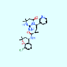 CC1(C)CC(=O)N([C@@H](c2cccnc2)[C@@H]2C[C@H]2C(=O)NC2CC(C)(C)Oc3c(Cl)cccc32)C(=N)N1